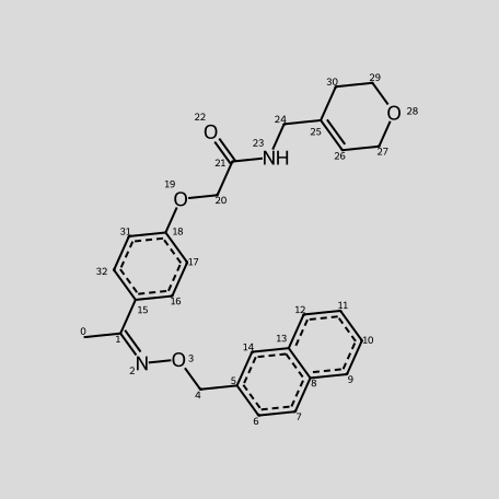 CC(=NOCc1ccc2ccccc2c1)c1ccc(OCC(=O)NCC2=CCOCC2)cc1